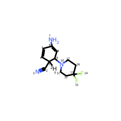 [2H]C1(C#N)C=CC(N)=CC1N1CCC(F)(F)CC1